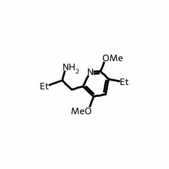 CCc1cc(OC)c(CC(N)CC)nc1OC